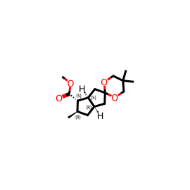 COC(=O)[C@@H]1[C@H]2CC3(C[C@H]2C[C@H]1C)OCC(C)(C)CO3